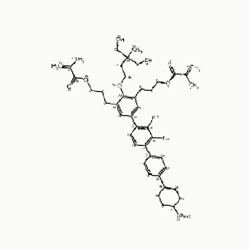 C=C(C)C(=O)OCCCc1cc(-c2ccc(-c3ccc(C4CCC(CCCCC)CC4)cc3)c(F)c2F)cc(CCCOC(=O)C(=C)C)c1OCCC(C)(CO)CO